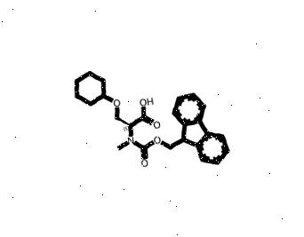 CN(C(=O)OCC1c2ccccc2-c2ccccc21)[C@@H](COC1CCCCC1)C(=O)O